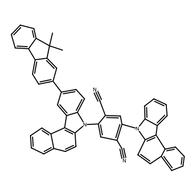 CC1(C)c2ccccc2-c2ccc(-c3ccc4c(c3)c3c5ccccc5ccc3n4-c3cc(C#N)c(-n4c5ccccc5c5c6ccccc6ccc54)cc3C#N)cc21